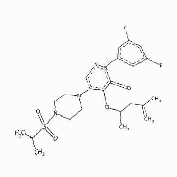 C=C(C)CC(C)Oc1c(N2CCN(S(=O)(=O)C(C)C)CC2)cnn(-c2cc(F)cc(F)c2)c1=O